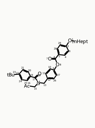 CCCCCCCOc1ccc(C(=O)Oc2ccc(CN(CC(C)=O)C(=O)c3ccc(C(C)(C)C)cc3)cc2)cc1